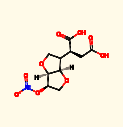 O=C(O)C[C@H](C(=O)O)C1CO[C@H]2[C@@H]1OC[C@H]2O[N+](=O)[O-]